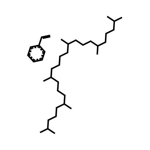 C=Cc1ccccc1.CC(C)CCCC(C)CCCC(C)CCCCC(C)CCCC(C)CCCC(C)C